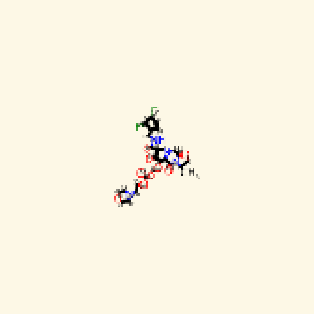 C[C@H]1CO[C@@H]2Cn3cc(C(=O)NCc4ccc(F)cc4F)c(=O)c(OCOC(=O)OCCN4CCOCC4)c3C(=O)N12